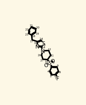 O=S(=O)(c1ccc(F)cc1)C1CCN(c2nc(Cc3ccccc3)cs2)CC1